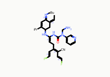 C/C=C1/CC(N/C(=C/CC(/C=C/F)=C(C#N)/C=C/F)NC(=O)N(CN)c2cccnc2)C(C(C)C)=C/C1=N/C(C)CC